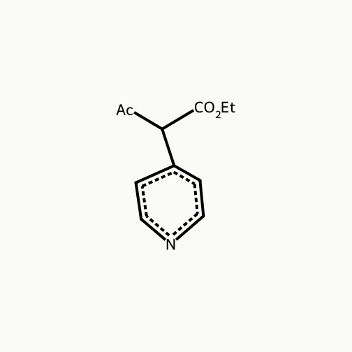 CCOC(=O)C(C(C)=O)c1ccncc1